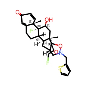 C[C@]12C=CC(=O)C=C1CC[C@H]1[C@@H]3C[C@H]4CN(Cc5cccs5)O[C@@]4(C(=O)CF)[C@@]3(C)C[C@H](O)[C@@]12F